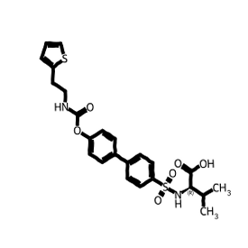 CC(C)[C@@H](NS(=O)(=O)c1ccc(-c2ccc(OC(=O)NCCc3cccs3)cc2)cc1)C(=O)O